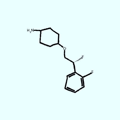 NC1CCC(OC[C@H](F)c2ccccc2F)CC1